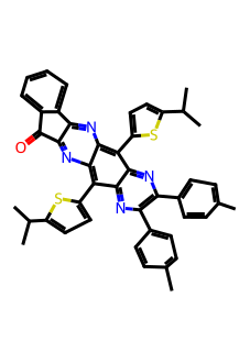 Cc1ccc(-c2nc3c(-c4ccc(C(C)C)s4)c4nc5c(nc4c(-c4ccc(C(C)C)s4)c3nc2-c2ccc(C)cc2)-c2ccccc2C5=O)cc1